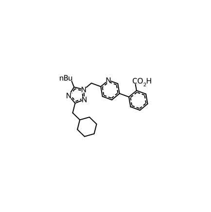 CCCCc1nc(CC2CCCCC2)nn1Cc1ccc(-c2ccccc2C(=O)O)cn1